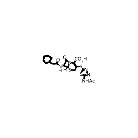 CC(=O)Nc1nnc(SC2=C(C(=O)O)N3C(=O)[C@@H](NC(=O)Cc4ccccc4)[C@@H]3SC2)s1